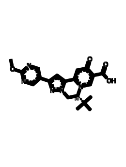 COc1ncc(-c2cc3n(n2)C[C@@H](C(C)(C)C)n2cc(C(=O)O)c(=O)cc2-3)cn1